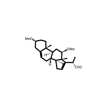 CO[C@H]1CC[C@@]2(C)C(=CC[C@H]3[C@@H]4CC=C([C@H](C)C=O)[C@@]4(C)[C@H](OC)C[C@@H]32)C1